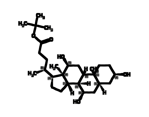 C[C@H](CCC(=O)OC(C)(C)C)[C@H]1CC[C@H]2[C@@H]3[C@H](O)C[C@@H]4C[C@H](O)CC[C@]4(C)[C@H]3C[C@H](O)[C@]12C